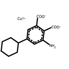 Nc1cc(C2CCCCC2)cc(C(=O)[O-])c1C(=O)[O-].[Cu+2]